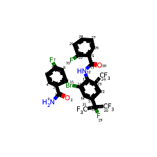 NC(=O)c1ccc(F)cc1.O=C(Nc1c(Br)cc(C(F)(C(F)(F)F)C(F)(F)F)cc1C(F)(F)F)c1ccccc1F